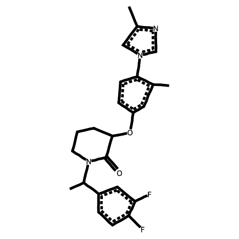 Cc1cn(-c2ccc(OC3CCCN(C(C)c4ccc(F)c(F)c4)C3=O)cc2C)cn1